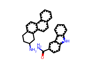 NC(=O)c1ccc2[nH]c3ccccc3c2c1.NC1CCc2ccc3c(ccc4ccccc43)c2C1